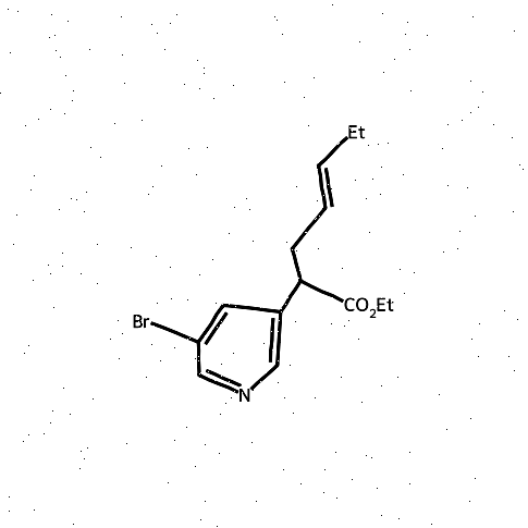 CCC=CCC(C(=O)OCC)c1cncc(Br)c1